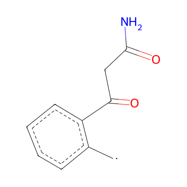 [CH2]c1ccccc1C(=O)CC(N)=O